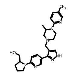 CC1CN(Cc2c[nH]nc2-c2ccc(N3CCCC3CO)nc2)CCN1c1ccc(C(F)(F)F)cn1